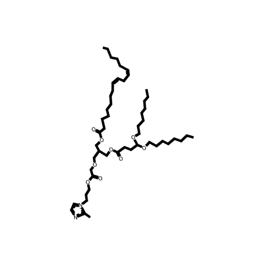 CCCCC/C=C\C/C=C\CCCCCCCC(=O)OCC(COCC(=O)OCCCn1ccnc1C)COC(=O)CCC(OCCCCCCCC)OCCCCCCCC